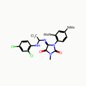 CNc1ccc(N2C(=O)N(C)C(=O)C2=NC(Nc2ccc(Cl)cc2Cl)C(Cl)(Cl)Cl)c(NC)c1